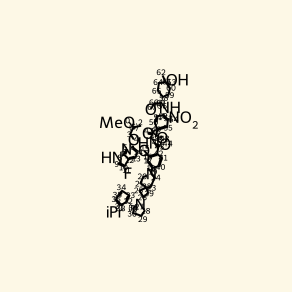 CO[C@@H](C)COc1nc2[nH]cc(F)c2cc1Oc1cc(N2CCC3(CC2)CC(N2CCC[C@@H]2c2ccccc2C(C)C)C3)ccc1C(=O)NS(=O)(=O)c1cc2c(c([N+](=O)[O-])c1)N[C@@H](C1CCC(C)(O)CC1)CO2